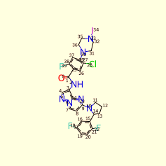 O=C(Nc1cnn2ccc(N3CCCC3c3cc(F)ccc3F)nc12)c1cc(Cl)c(N2CCN(I)CC2)cc1F